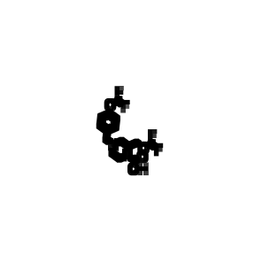 O=C(O)N1CCN(Cc2ccc(OC(F)F)cc2)CC1COC(F)F